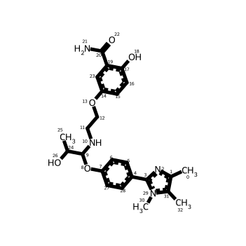 Cc1nc(-c2ccc(OC(NCCOc3ccc(O)c(C(N)=O)c3)C(C)O)cc2)n(C)c1C